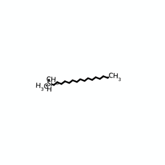 CCCCCCCCCCCCCCCC[SiH](C)C